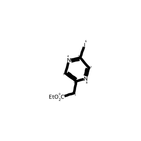 CCOC(=O)Cc1cnc(I)cn1